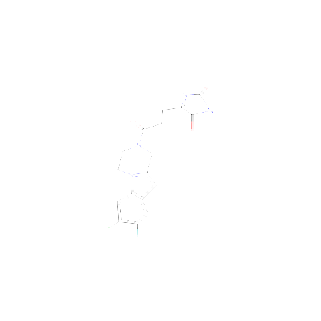 O=C1N=C(CCC(=O)N2CCn3c(cc4cc(F)c(Cl)cc43)C2)C(=O)N1